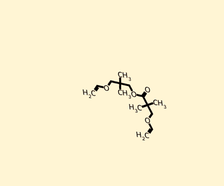 C=COCC(C)(C)COC(=O)C(C)(C)COC=C